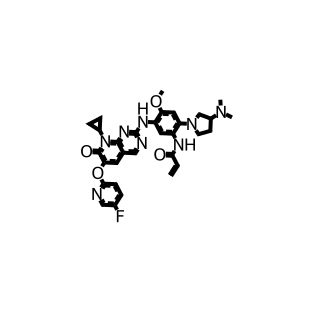 C=CC(=O)Nc1cc(Nc2ncc3cc(Oc4ccc(F)cn4)c(=O)n(C4CC4)c3n2)c(OC)cc1N1CCC(N(C)C)C1